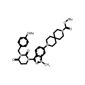 COc1ccc(CN2C(=O)CCN(c3nn(C)c4cc(N5CCC6(CCN(C(=O)OC(C)(C)C)CC6)CC5)ccc34)C2=O)cc1